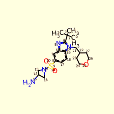 CC(C)(C)c1nc2cc(S(=O)(=O)N3CC(N)C3)ccc2n1CC1CCOCC1